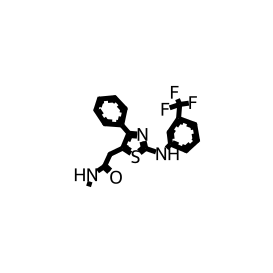 CNC(=O)Cc1sc(Nc2cccc(C(F)(F)F)c2)nc1-c1ccccc1